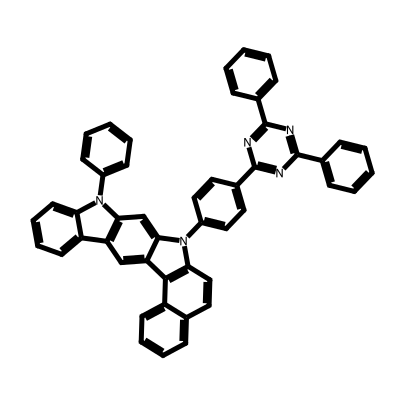 c1ccc(-c2nc(-c3ccccc3)nc(-c3ccc(-n4c5cc6c(cc5c5c7ccccc7ccc54)c4ccccc4n6-c4ccccc4)cc3)n2)cc1